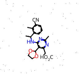 Cc1nc(CC(=O)O)c(C2OCCO2)c(NC(C)c2cccc(C#N)c2C)n1